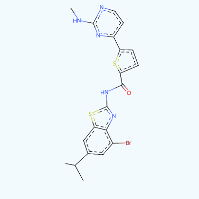 CNc1nccc(-c2ccc(C(=O)Nc3nc4c(Br)cc(C(C)C)cc4s3)s2)n1